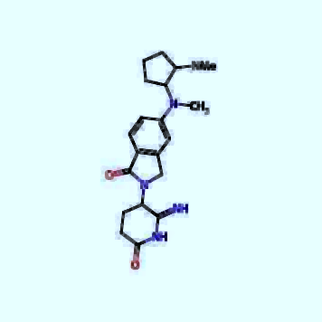 CNC1CCCC1N(C)c1ccc2c(c1)CN(C1CCC(=O)NC1=N)C2=O